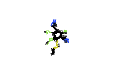 CCSc1c(F)c(F)c(C#N)c(F)c1C#N